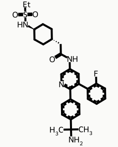 CCS(=O)(=O)N[C@H]1CC[C@H](CC(=O)Nc2cnc(-c3ccc(C(C)(C)N)cc3)c(-c3ccccc3F)c2)CC1